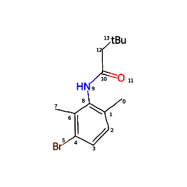 Cc1ccc(Br)c(C)c1NC(=O)CC(C)(C)C